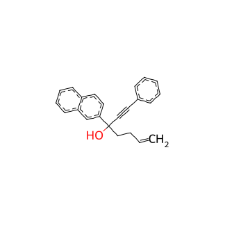 C=CCCC(O)(C#Cc1ccccc1)c1ccc2ccccc2c1